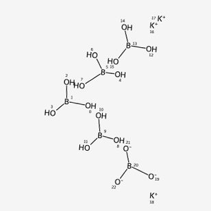 OB(O)O.OB(O)O.OB(O)O.OB(O)O.[K+].[K+].[K+].[O-]B([O-])[O-]